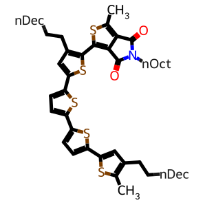 CCCCCCCCCCCCc1cc(-c2ccc(-c3ccc(-c4cc(CCCCCCCCCCCC)c(-c5sc(C)c6c5C(=O)N(CCCCCCCC)C6=O)s4)s3)s2)sc1C